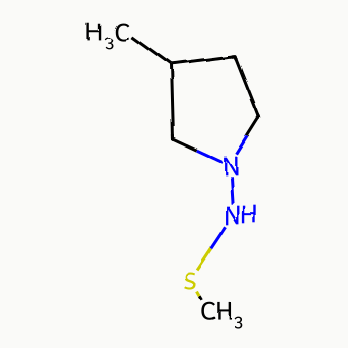 CSNN1CCC(C)C1